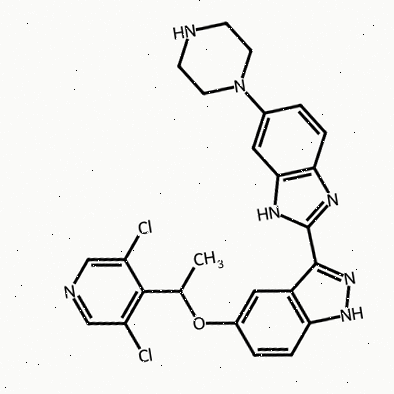 CC(Oc1ccc2[nH]nc(-c3nc4ccc(N5CCNCC5)cc4[nH]3)c2c1)c1c(Cl)cncc1Cl